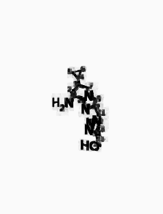 Nc1cc(C2CC2)cn2cc(Cn3cc(CO)nn3)nc12